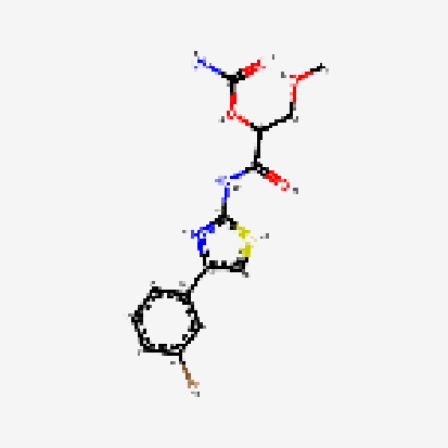 COCC(OC(N)=O)C(=O)Nc1nc(-c2cccc(Br)c2)cs1